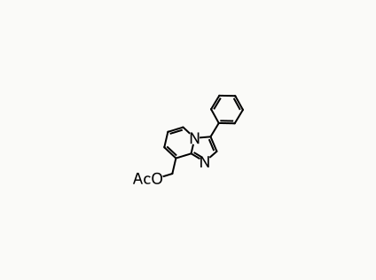 CC(=O)OCc1cccn2c(-c3ccccc3)cnc12